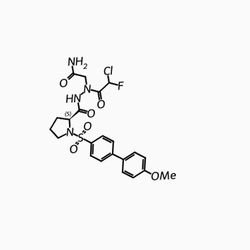 COc1ccc(-c2ccc(S(=O)(=O)N3CCC[C@H]3C(=O)NN(CC(N)=O)C(=O)C(F)Cl)cc2)cc1